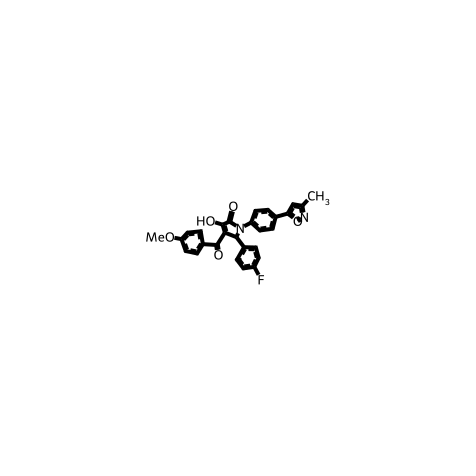 COc1ccc(C(=O)C2=C(O)C(=O)N(c3ccc(-c4cc(C)no4)cc3)C2c2ccc(F)cc2)cc1